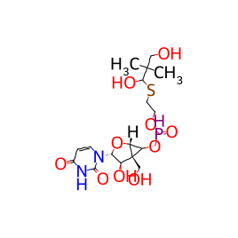 CC(C)(CO)C(O)SCCO[PH](=O)OC1[C@H]2O[C@@H](n3ccc(=O)[nH]c3=O)[C@H](O)[C@@]12CO